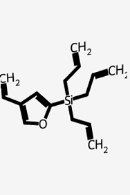 C=CC[Si](CC=C)(CC=C)c1cc(C=C)co1